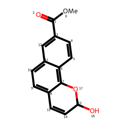 COC(=O)c1ccc2c3c(ccc2c1)C=CC(O)O3